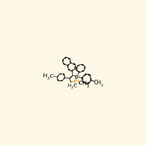 Cc1ccc(C2=C(c3ccc4ccccc4c3)[B-](c3ccccc3)(c3ccc(C)cc3)[P+](C)(C)C2)cc1